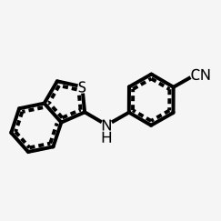 N#Cc1ccc(Nc2scc3ccccc23)cc1